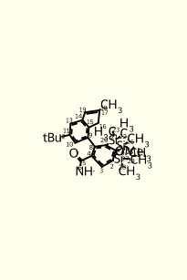 COc1c2cc(C([NH])=O)c(-c3cc(C(C)(C)C)cc4c3CC(C)=C4)c1[Si](C)(C)[Si](C)(C)[Si]2(C)C